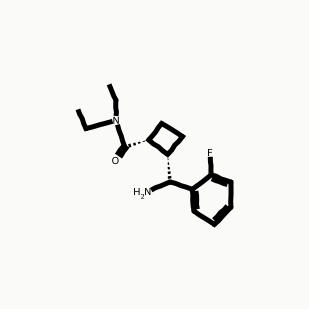 CCN(CC)C(=O)[C@@H]1CC[C@@H]1C(N)c1ccccc1F